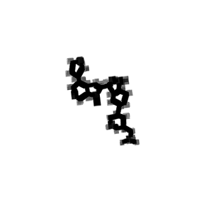 CN(C)Cc1cncc(-c2ccc3[nH]nc(-c4cc5c(-c6ccoc6)cncc5[nH]4)c3c2)c1